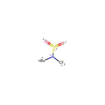 CCCCN([SH](=O)=O)C(F)(F)F